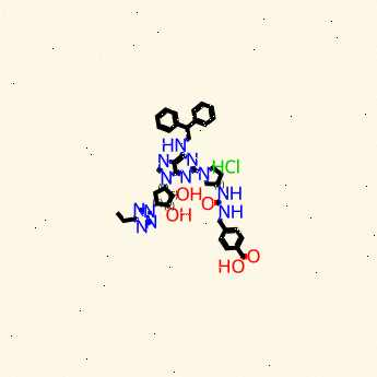 CCc1nnn([C@H]2C[C@@H](n3cnc4c(NCC(c5ccccc5)c5ccccc5)nc(N5CC[C@@H](NC(=O)NCc6ccc(C(=O)O)cc6)C5)nc43)[C@H](O)[C@@H]2O)n1.Cl